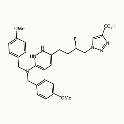 COc1ccc(CN(Cc2ccc(OC)cc2)C2=CC=C(CCC(F)Cn3cc(C(=O)O)nn3)NN2)cc1